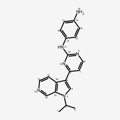 CC(C)n1cc(-c2ccnc(Nc3ccc(N)cc3)n2)c2ccncc21